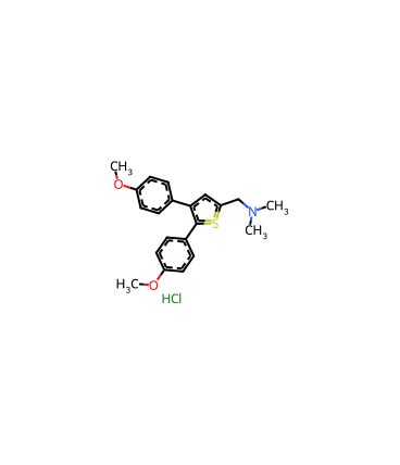 COc1ccc(-c2cc(CN(C)C)sc2-c2ccc(OC)cc2)cc1.Cl